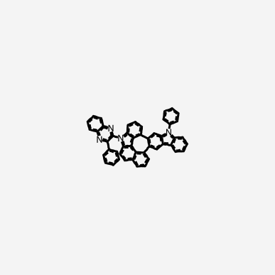 c1ccc(-c2nc3ccccc3nc2-n2c3cccc4c3c3c5c(cccc5ccc32)-c2cc3c5ccccc5n(-c5ccccc5)c3cc2-4)cc1